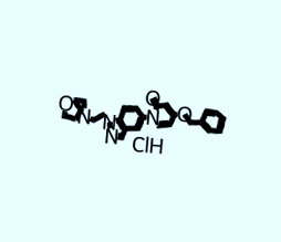 Cl.O=c1cc(OCc2ccccc2)ccn1-c1ccc2c(cnn2CCN2CC3CC2CO3)c1